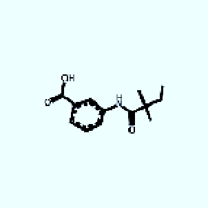 CCC(C)(C)C(=O)Nc1cccc(C(=O)O)c1